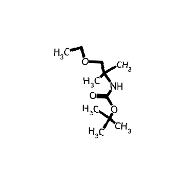 CCOCC(C)(C)NC(=O)OC(C)(C)C